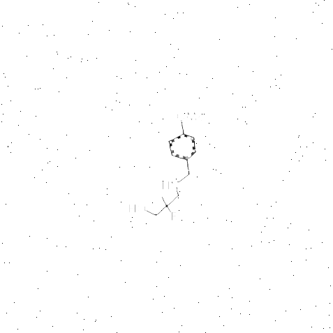 COc1ccc(CNCC(F)(F)CO)cc1